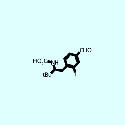 CC(C)(C)C(Cc1ccc(C=O)cc1I)NC(=O)O